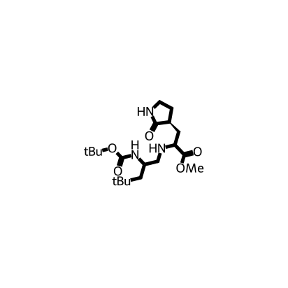 COC(=O)C(C[C@@H]1CCNC1=O)NCC(CC(C)(C)C)NC(=O)OC(C)(C)C